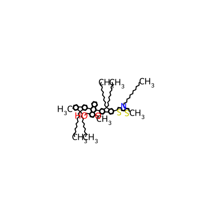 CCCCCCCCCCCCn1c2cc(C)sc2c2sc(-c3ccc4c(c3)C(CCCCCCCCCC)(CCCCCCCCCC)c3cc(-c5c6ccccc6c(-c6ccc7c(c6)C(CCCCCCCCCC)(CCCCCCCCCC)c6cc(C)ccc6-7)c6c(CO)ccc(OC)c56)ccc3-4)cc21